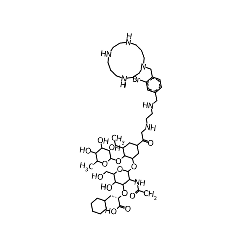 CCC1CC(C(=O)CNCCNCc2ccc(CN3CCCNCCNCCCNCC3)c(Br)c2)CC(OC2OC(CO)C(O)C(O[C@@H](CC3CCCCC3)C(=O)O)C2NC(C)=O)C1OC1OC(C)C(O)C(O)C1O